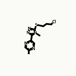 Cc1cnc(-c2nnc(SCCCCl)n2C)cn1